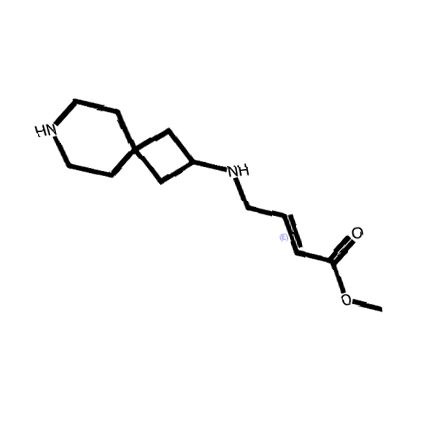 COC(=O)/C=C/CNC1CC2(CCNCC2)C1